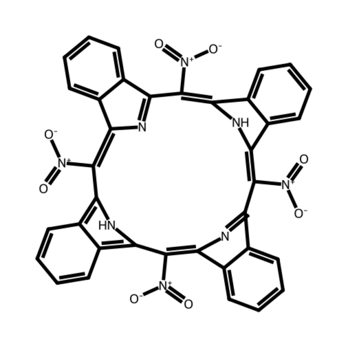 O=[N+]([O-])c1c2nc(c([N+](=O)[O-])c3[nH]c(c([N+](=O)[O-])c4nc(c([N+](=O)[O-])c5[nH]c1c1ccccc51)-c1ccccc1-4)c1ccccc31)-c1ccccc1-2